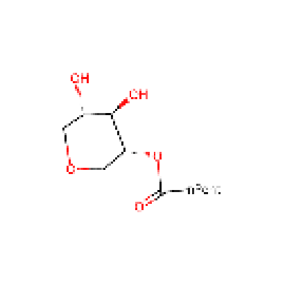 CCCCCC(=O)O[C@@H]1COC[C@H](O)[C@H]1O